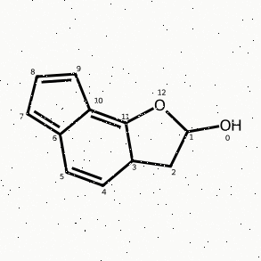 OC1CC2C=CC3=CC=CC3=C2O1